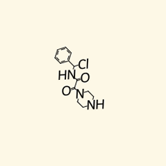 O=C(NC(Cl)c1ccccc1)C(=O)N1CCNCC1